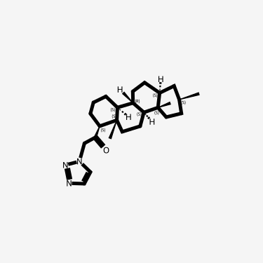 C[C@H]1CC[C@@]2(C)[C@@H](CC[C@@H]3[C@@H]2CC[C@]2(C)[C@@H](C(=O)Cn4ccnn4)CCC[C@@H]32)C1